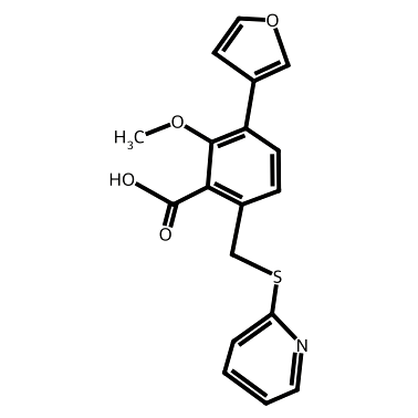 COc1c(-c2ccoc2)ccc(CSc2ccccn2)c1C(=O)O